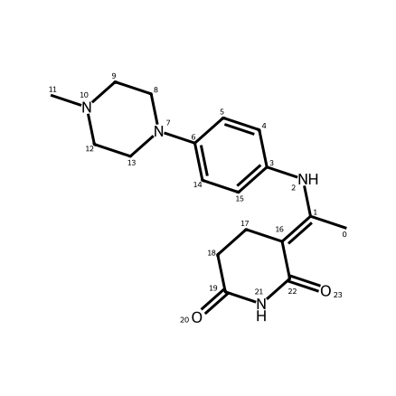 CC(Nc1ccc(N2CCN(C)CC2)cc1)=C1CCC(=O)NC1=O